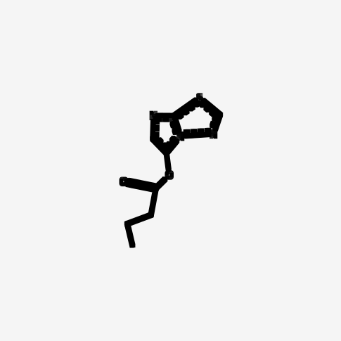 CCCC(=O)Oc1cnc2scnn12